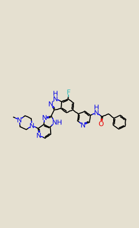 CN1CCN(c2nccc3[nH]c(-c4n[nH]c5c(F)cc(-c6cncc(NC(=O)Cc7ccccc7)c6)cc45)nc23)CC1